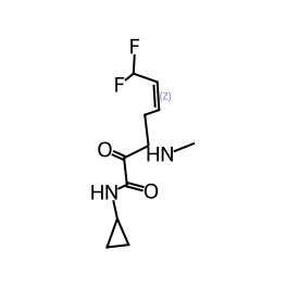 CNC(C/C=C\C(F)F)C(=O)C(=O)NC1CC1